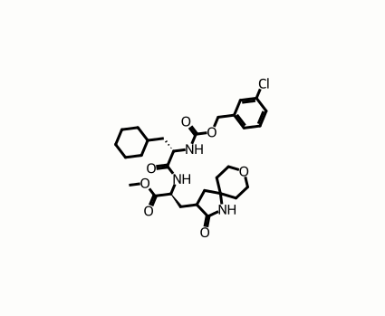 COC(=O)[C@H](CC1CC2(CCOCC2)NC1=O)NC(=O)[C@H](CC1CCCCC1)NC(=O)OCc1cccc(Cl)c1